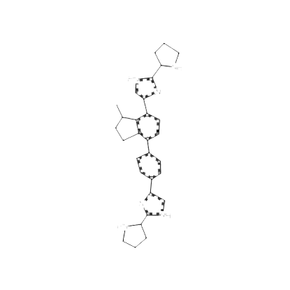 CC1CCc2c(-c3ccc(-c4c[nH]c(C5CCCN5)n4)cc3)ccc(-c3c[nH]c(C4CCCN4)n3)c21